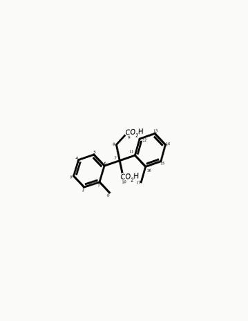 Cc1ccccc1C(CC(=O)O)(C(=O)O)c1ccccc1C